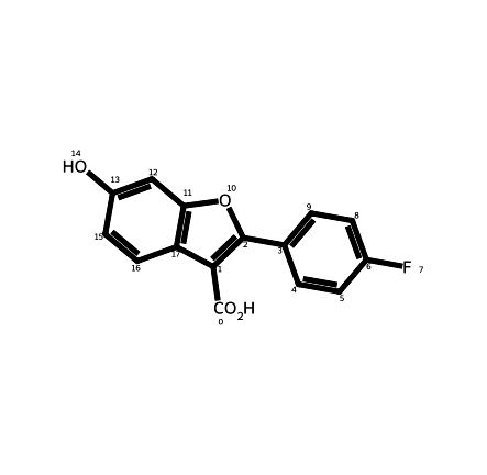 O=C(O)c1c(-c2ccc(F)cc2)oc2cc(O)ccc12